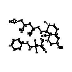 C[C@@H]1C=CC2=C[C@@H](O)C[C@H](OC(=O)C(C)(C)OCc3ccccc3)[C@@H]2[C@H]1CC[C@@H](O)C[C@@H](O)CC(=O)O